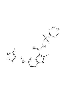 Cc1ncsc1COc1ccc2sc(C)c(C(=O)NCC(C)(C)N3CCOCC3)c2c1